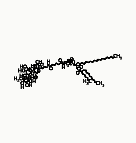 CCCCCCCC/C=C\C(CCCCCC)C(=O)OC[C@@H](COP(C)(=O)OCCNC(=O)CCCCC(=O)NCCCO[C@@H]1O[C@@H](CO)[C@@H](O[C@@H]2OC(CO)[C@H](O)[C@H](O)C2O[C@@H]2OC(C)[C@@H](O)[C@H](O)C2O)C(O)C1NC(C)=O)OC(=O)CCCCCCC/C=C/CCCCCCCC